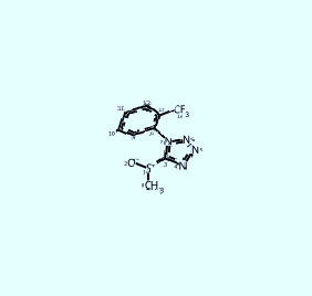 C[S+]([O-])c1nnnn1-c1ccccc1C(F)(F)F